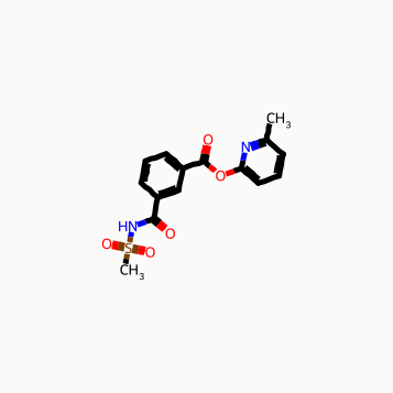 Cc1cccc(OC(=O)c2cccc(C(=O)NS(C)(=O)=O)c2)n1